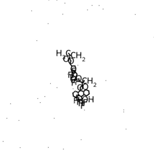 C=C(C)C(=O)OCC1CC2SC1CC2CC(OCC(=C)C(=O)OC1C2CCCCC2C(C(O)(C(F)(F)F)C(F)(F)F)C2CCCCC21)(C(F)(F)F)C(F)(F)F